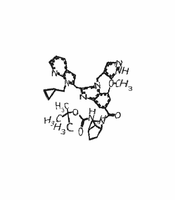 COc1cc(C(=O)N2CC3CCC2[C@@H]3NC(=O)OC(C)(C)C)cc2nc(-c3cc4cccnc4n3CC3CC3)n(Cc3cn[nH]c3)c12